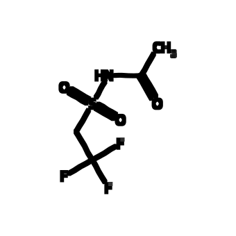 CC(=O)NS(=O)(=O)CC(F)(F)F